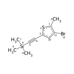 Cc1sc(C#C[Si](C)(C)C)cc1Br